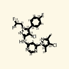 Cc1nn(-c2cc(Nc3nn(CC(F)F)c(-c4ccc(F)cc4)c3Cl)ncn2)c(C)c1Cl